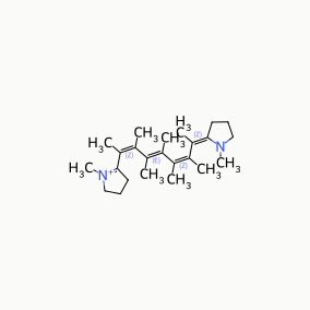 C/C(C1=[N+](C)CCC1)=C(C)/C(C)=C(C)/C(C)=C(C)\C(C)=C1\CCCN1C